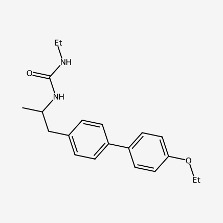 CCNC(=O)NC(C)Cc1ccc(-c2ccc(OCC)cc2)cc1